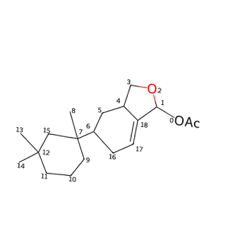 CC(=O)OC1OCC2CC(C3(C)CCCC(C)(C)C3)CC=C21